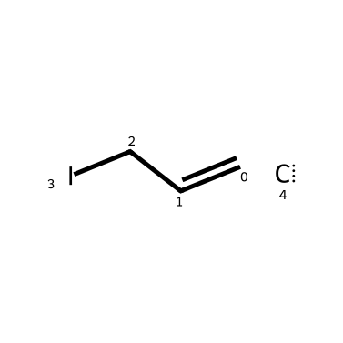 C=CCI.[C]